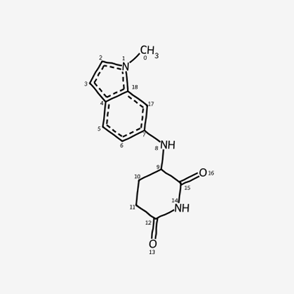 Cn1ccc2ccc(NC3CCC(=O)NC3=O)cc21